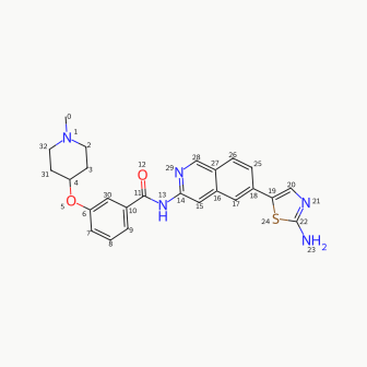 CN1CCC(Oc2cccc(C(=O)Nc3cc4cc(-c5cnc(N)s5)ccc4cn3)c2)CC1